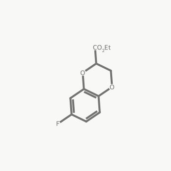 CCOC(=O)C1COc2ccc(F)cc2O1